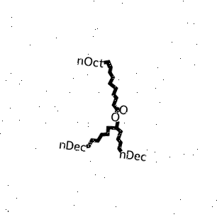 CCCCCCCC/C=C\CCCCCCCC(=O)OCC(CCCCCCCCCCCCCC)CCCCCCCCCCCCCCCC